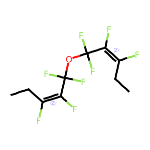 CC/C(F)=C(/F)C(F)(F)OC(F)(F)/C(F)=C(/F)CC